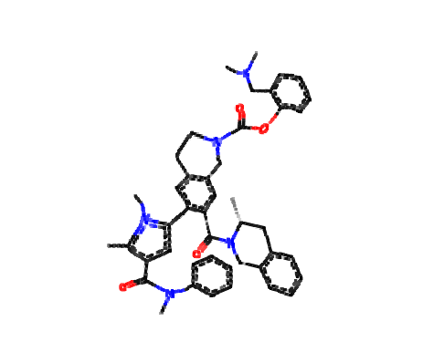 Cc1c(C(=O)N(C)c2ccccc2)cc(-c2cc3c(cc2C(=O)N2Cc4ccccc4C[C@H]2C)CN(C(=O)Oc2ccccc2CN(C)C)CC3)n1C